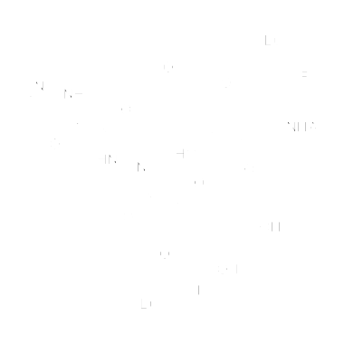 CCC(CC)OC1C(C(=O)NNC(=O)C(=O)NN)OC(OC2C(O)C(CO)OC(C(CC)CC)C2NC(C)=O)C(O)C1O